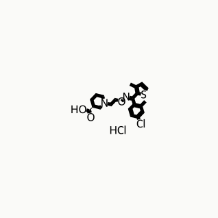 Cc1cc(Cl)ccc1/C(=N\OCCN1CCC[C@@H](C(=O)O)C1)c1sccc1C.Cl